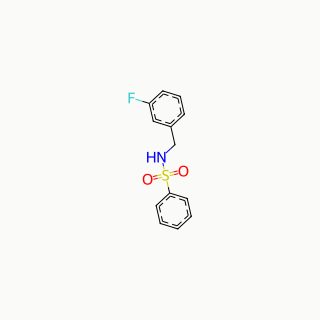 O=S(=O)(NCc1cccc(F)c1)c1ccccc1